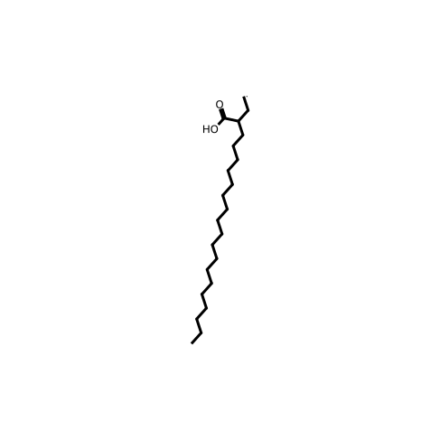 [CH2]CC(CCCCCCCCCCCCCCCCCC)C(=O)O